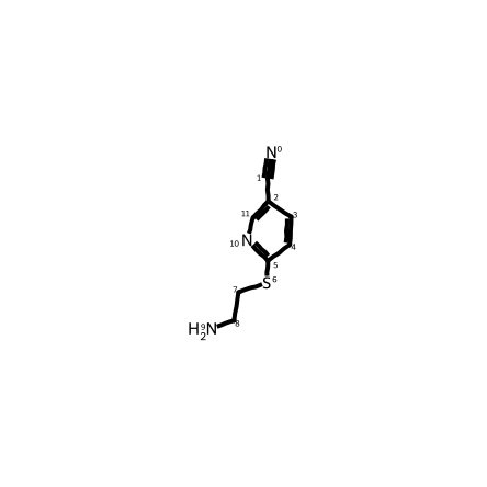 N#Cc1ccc(SCCN)nc1